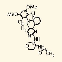 C=CC(=O)N[C@H]1CCOC[C@H]1Nc1ncc2c(n1)-c1cccnc1N(c1c(Cl)c(OC)cc(OC)c1Cl)C2C